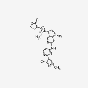 CC(C)c1ccc(N2C[C@H](N3CCOC3=O)[C@H]2C)c2cnc(Nc3ccnc(-c4cn(C)nc4Cl)n3)cc12